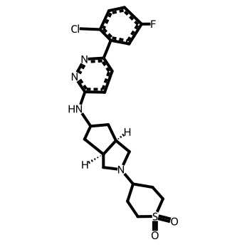 O=S1(=O)CCC(N2C[C@H]3CC(Nc4ccc(-c5cc(F)ccc5Cl)nn4)C[C@H]3C2)CC1